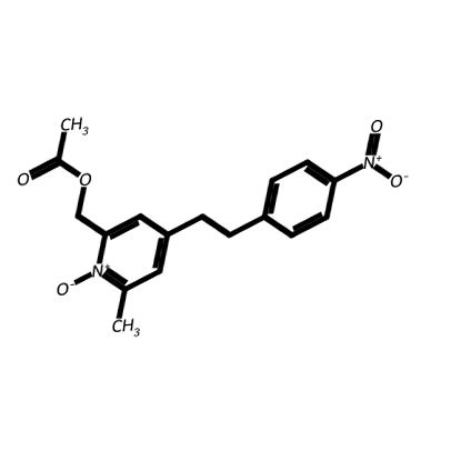 CC(=O)OCc1cc(CCc2ccc([N+](=O)[O-])cc2)cc(C)[n+]1[O-]